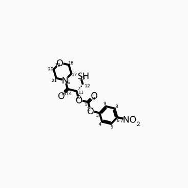 O=C(Oc1ccc([N+](=O)[O-])cc1)O[C@@H](CS)C(=O)N1CCOCC1